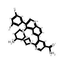 NC(=O)c1cnc(N2CCC2)c(-c2ccc3ncc(-c4cc(F)cc(F)c4)c(N4CCC(N)CC4)c3c2)c1